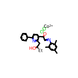 CC[C@@H](O)Cc1nc(-c2ccccc2)ccc1C(=O)C=Nc1c(C)cc(C)cc1C.[Cl-].[Cl-].[Co+2]